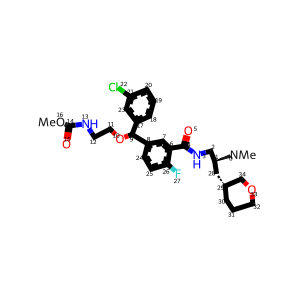 CN[C@H](CNC(=O)c1cc(C(OCCNC(=O)OC)c2cccc(Cl)c2)ccc1F)C[C@H]1CCCOC1